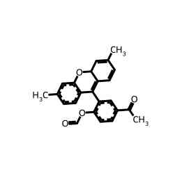 CC(=O)c1ccc(OC=O)c(C2=C3C=CC(C)=CC3Oc3cc(C)ccc32)c1